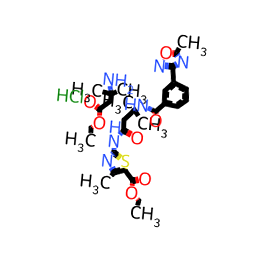 CCOC(=O)CC(C)(C)N.CCOC(=O)c1sc(NC(=O)CC(C)(C)NC(=O)c2cccc(-c3noc(C)n3)c2)nc1C.Cl